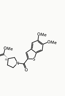 COC(=O)[C@H]1CCN(C(=O)c2cc3cc(OC)c(OC)cc3s2)C1